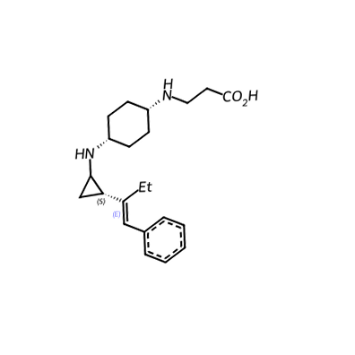 CC/C(=C\c1ccccc1)[C@@H]1CC1N[C@H]1CC[C@@H](NCCC(=O)O)CC1